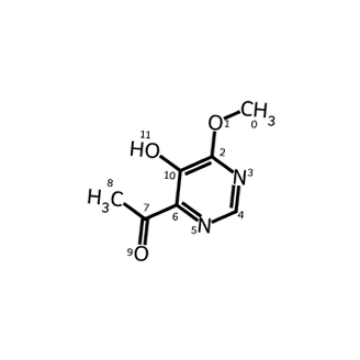 COc1ncnc(C(C)=O)c1O